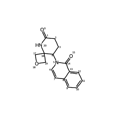 O=C1CCC(n2ccc3ccccc3c2=O)C2(COC2)N1